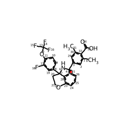 Cc1cc(C(=O)NC2(c3ccc(OC(F)(F)F)c(F)c3)CCOc3cccnc32)cc(C)c1C(=O)O